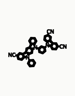 N#Cc1ccc2c(c1)c1cc(C#N)ccc1n2-c1cccc(-n2c3ccccc3c3cc4c5cc(C#N)ccc5n(-c5ccccc5)c4cc32)c1